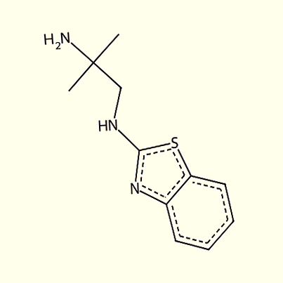 CC(C)(N)CNc1nc2ccccc2s1